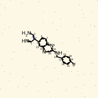 N=C/C(=C\N)c1ccc2nc(NCc3ccc(F)cc3)cnc2c1